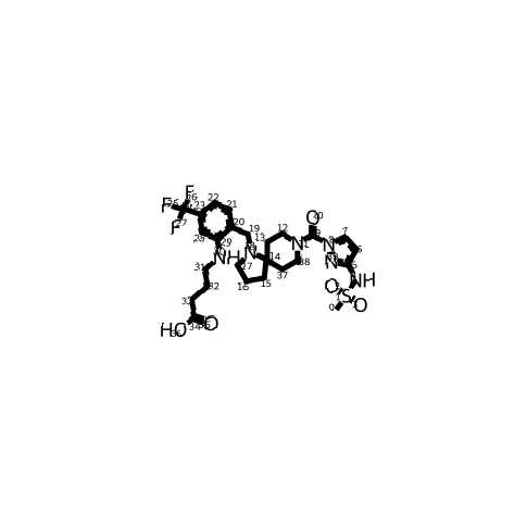 CS(=O)(=O)Nc1ccn(C(=O)N2CCC3(CCCN3Cc3ccc(C(F)(F)F)cc3NCCCC(=O)O)CC2)n1